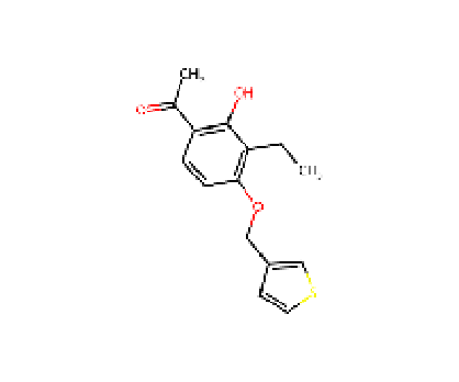 CCc1c(OCc2[c]scc2)ccc(C(C)=O)c1O